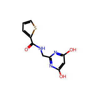 O=C(NCc1nc(O)cc(O)n1)c1cccs1